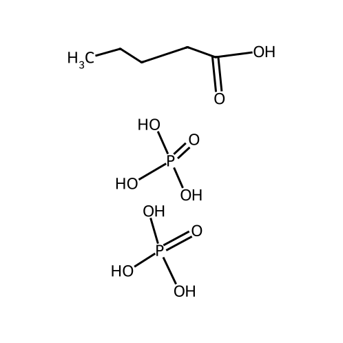 CCCCC(=O)O.O=P(O)(O)O.O=P(O)(O)O